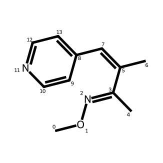 CON=C(C)C(C)=Cc1ccncc1